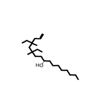 C=CCC(C)(CC)CC(C)(CC)CC[C@@H](O)CCCCCCCC